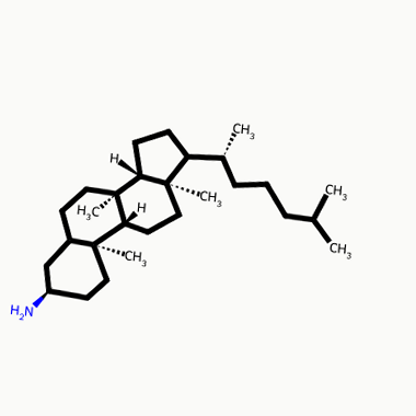 CC(C)CCC[C@@H](C)C1CC[C@H]2[C@]3(C)CCC4C[C@H](N)CC[C@]4(C)[C@H]3CC[C@]12C